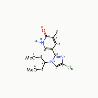 COCC(COC)n1cc(Cl)nc1-c1cc(C)c(=O)n(C)c1